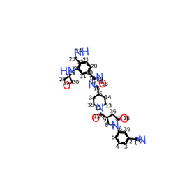 N#Cc1cccc(N2CC(C(=O)N3CCC(c4nc(-c5ccc(C=N)c(NC6COC6)c5)no4)CC3)CC2=O)c1